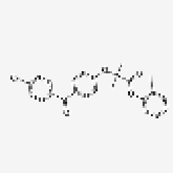 CC(C)(Oc1ccc(C(=O)c2ccc(Cl)cc2)cc1)C(=O)Oc1ccccc1I